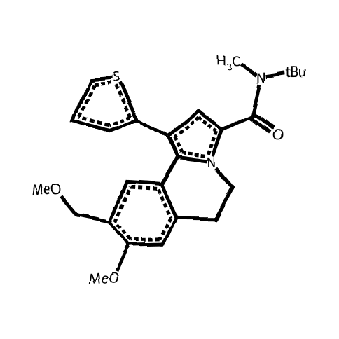 COCc1cc2c(cc1OC)CCn1c(C(=O)N(C)C(C)(C)C)cc(-c3cccs3)c1-2